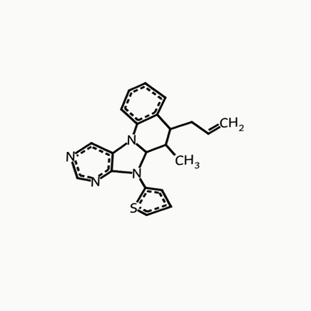 C=CCC1c2ccccc2N2c3cncnc3N(c3cccs3)C2C1C